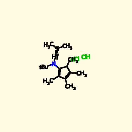 CC1=C(C)C(C)C([N]([Hf]=[Si](C)C)C(C)(C)C)=C1C.Cl.Cl